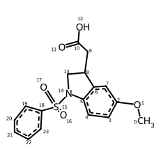 COc1ccc2c(c1)C(CC(=O)O)CN2S(=O)(=O)c1ccccc1